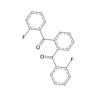 O=C(c1ccccc1F)c1ccccc1C(=O)c1ccccc1F